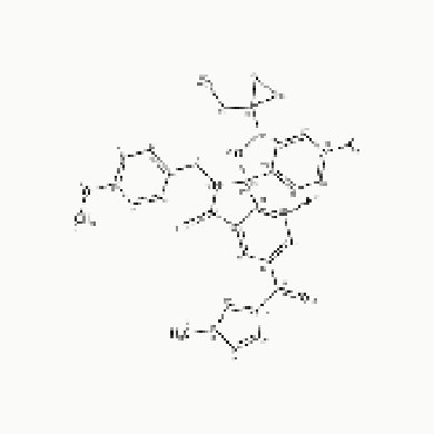 COc1ccc(CN2C(=O)c3cc(C(=O)c4cnn(C)c4)cc(F)c3[C@]2(OCC2(CO)CC2)c2ccc(Cl)cc2)cn1